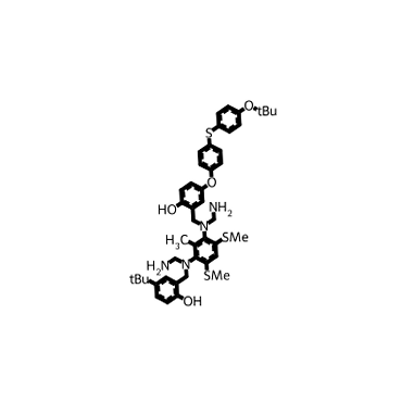 CSc1cc(SC)c(N(CN)Cc2cc(C(C)(C)C)ccc2O)c(C)c1N(CN)Cc1cc(Oc2ccc(Sc3ccc(OC(C)(C)C)cc3)cc2)ccc1O